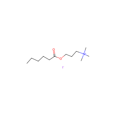 CCCCCC(=O)OCCC[N+](C)(C)C.[I-]